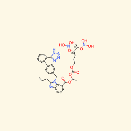 CCCc1nc2cccc(C(=O)OC(C)OC(=O)OCCC[C@@H](ON(O)O)[C@@H](C)ON(O)O)c2n1Cc1ccc(-c2ccccc2-c2nnn[nH]2)cc1